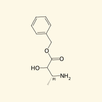 C[C@@H](N)C(O)C(=O)OCc1ccccc1